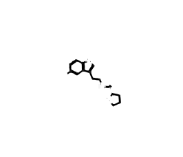 O=C(NCCc1c[nH]c2ccc(F)cc12)[C@@H]1CCCN1